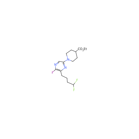 CCOC(=O)C1CCN(c2cnc(I)c(CCCC(F)F)n2)CC1